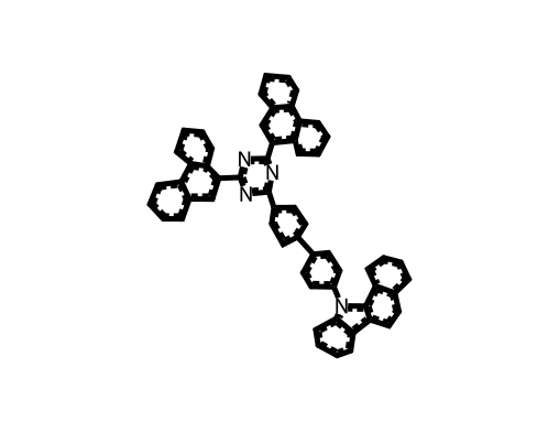 c1ccc2c(c1)cc(-c1nc(-c3ccc(-c4ccc(-n5c6ccccc6c6ccc7ccccc7c65)cc4)cc3)nc(-c3cc4ccccc4c4ccccc34)n1)c1ccccc12